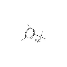 Cc1cc(C)cc(C(C)(C)C(F)(F)F)c1